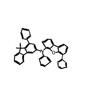 CC1(C)c2ccccc2-c2cc(N(c3ccccc3)c3cccc4c3oc3c(-c5ccccc5)cccc34)cc(-c3ccccc3)c21